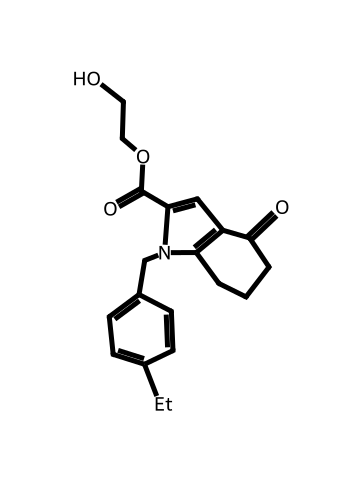 CCc1ccc(Cn2c(C(=O)OCCO)cc3c2CCCC3=O)cc1